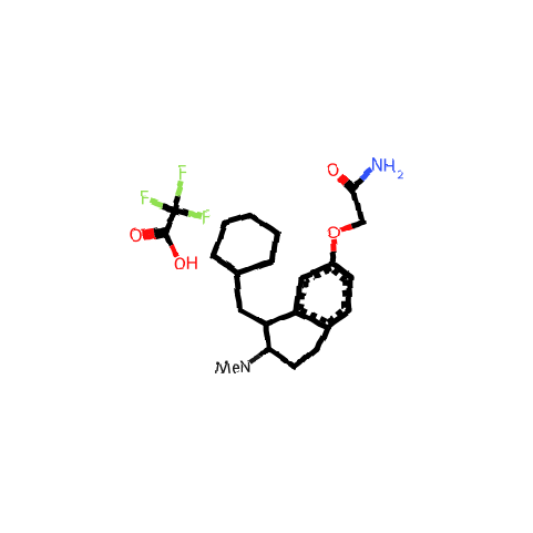 CNC1CCc2ccc(OCC(N)=O)cc2C1CC1CCCCC1.O=C(O)C(F)(F)F